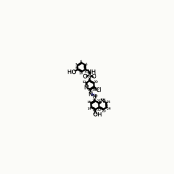 O=S(=O)(Nc1cccc(O)c1)c1cnc(/N=N/c2ccc(O)c3cccnc23)c(Cl)c1